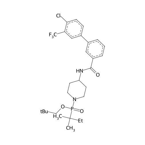 CCC(C)(C)P(=O)(OCC(C)(C)C)N1CCC(NC(=O)c2cccc(-c3ccc(Cl)c(C(F)(F)F)c3)c2)CC1